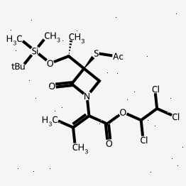 CC(=O)S[C@@]1([C@@H](C)O[Si](C)(C)C(C)(C)C)CN(C(C(=O)OC(Cl)C(Cl)Cl)=C(C)C)C1=O